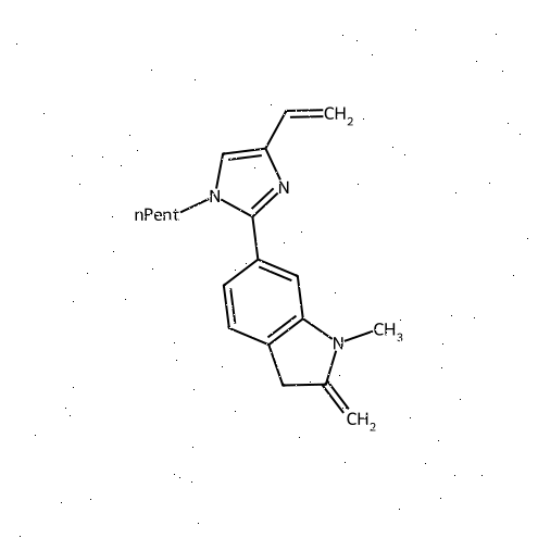 C=Cc1cn(CCCCC)c(-c2ccc3c(c2)N(C)C(=C)C3)n1